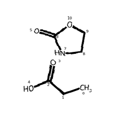 CCC(=O)O.O=C1NCCO1